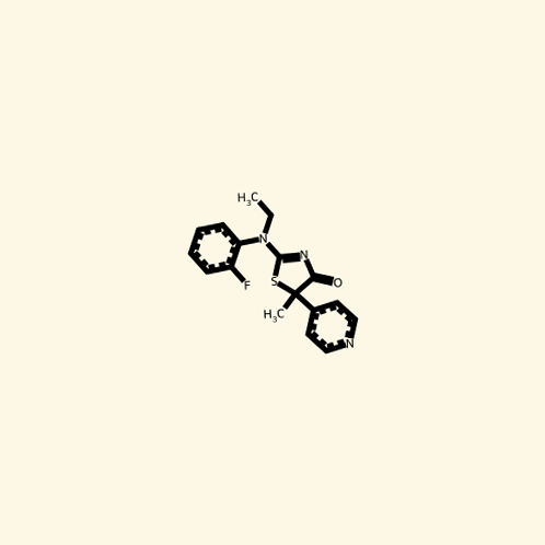 CCN(C1=NC(=O)C(C)(c2ccncc2)S1)c1ccccc1F